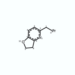 CC(C)Cc1ccc2c(n1)CCO2